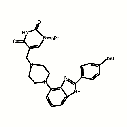 CCCn1cc(CN2CCN(c3cccc4[nH]c(-c5ccc(C(C)(C)C)cc5)nc34)CC2)c(=O)[nH]c1=O